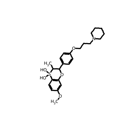 COc1ccc2c(c1)OC(c1ccc(OCCCN3CCCCC3)cc1)C(C)S2(O)O